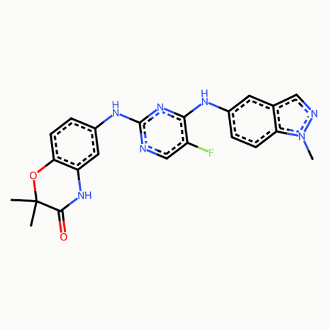 Cn1ncc2cc(Nc3nc(Nc4ccc5c(c4)NC(=O)C(C)(C)O5)ncc3F)ccc21